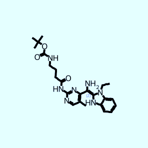 CCN1/C(=C(\N)c2nc(NC(=O)CCCNC(=O)OC(C)(C)C)ncc2C)Nc2ccccc21